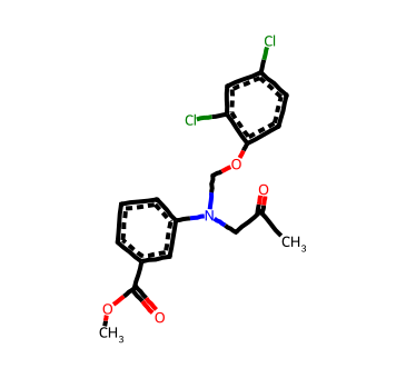 COC(=O)c1cccc(N(COc2ccc(Cl)cc2Cl)CC(C)=O)c1